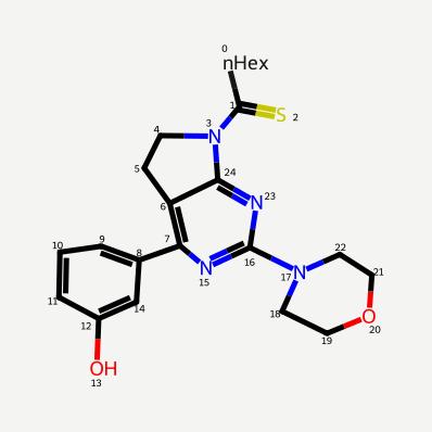 CCCCCCC(=S)N1CCc2c(-c3cccc(O)c3)nc(N3CCOCC3)nc21